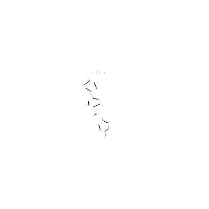 CCCCCCCCCOc1ccc(-c2ccc(C(=O)Oc3ccc(CCCCCCCC)cc3F)cc2)cc1F